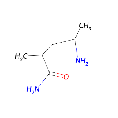 CC(N)CC(C)C(N)=O